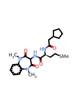 CSCC[C@H](NC(=O)CC1CCCC1)C(=O)NC1C(=O)N(C)c2ccccc2N(C)C1=O